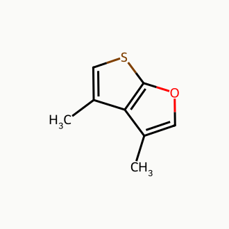 Cc1coc2scc(C)c12